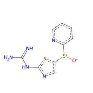 N=C(N)Nc1ncc([S+]([O-])c2ccccn2)s1